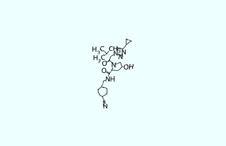 CC(C)(C)[C@@H](C(=O)N1C[C@H](O)C[C@H]1C(=O)NCC1CCC(C#N)CC1)n1cc(C2CC2)nn1